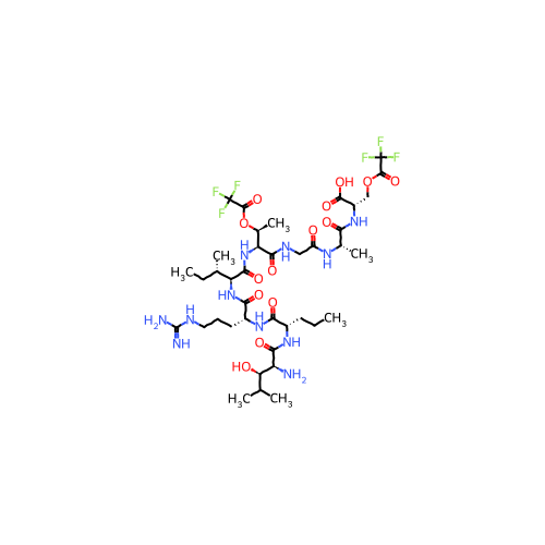 CCC[C@H](NC(=O)[C@@H](N)[C@H](O)C(C)C)C(=O)N[C@H](CCCNC(=N)N)C(=O)N[C@H](C(=O)N[C@H](C(=O)NCC(=O)N[C@@H](C)C(=O)N[C@@H](COC(=O)C(F)(F)F)C(=O)O)[C@H](C)OC(=O)C(F)(F)F)[C@@H](C)CC